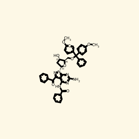 COc1ccc(C(OC[C@H]2O[C@H](n3nc(C(=O)c4ccccc4)c4c(NC(=O)c5ccccc5)nc(N)nc43)C[C@@H]2O)(c2ccccc2)c2ccc(OC)cc2)cc1